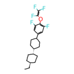 CC[C@H]1CC[C@H](C2CCC(c3cc(F)c(OC(F)=C(F)F)c(F)c3)CC2)CC1